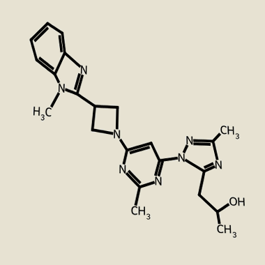 Cc1nc(N2CC(c3nc4ccccc4n3C)C2)cc(-n2nc(C)nc2CC(C)O)n1